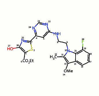 CCOC(=O)c1sc(-c2cc(NCCn3c(C)c(OC)c4cccc(F)c43)ncn2)nc1O